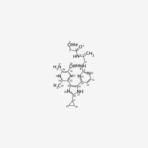 COCC(=O)NC(C)CNc1nccc(-c2[nH]c(C3CC3)nc2-c2nc(OC)c(N)nc2C)n1